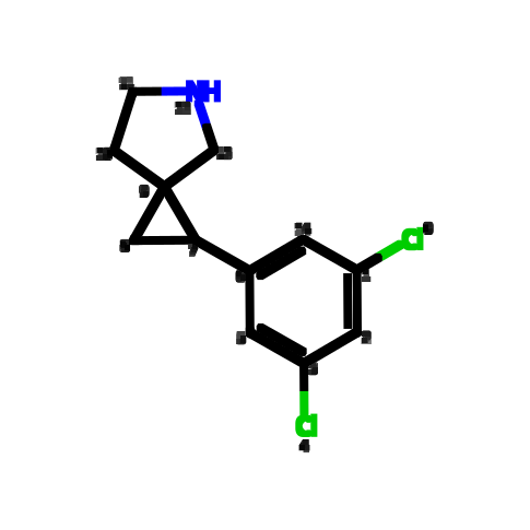 Clc1cc(Cl)cc(C2CC23CCNC3)c1